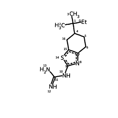 CCC(C)(C)C1CCc2nc(NC(=N)N)sc2C1